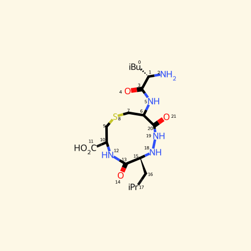 CCC(C)[C@H](N)C(=O)NC1CSCC(C(=O)O)NC(=O)[C@H](CC(C)C)NNC1=O